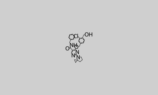 O=C(NCc1ccccc1)c1cnc(N2CCCC23CC3)nc1OCc1ccc(CO)c(Cl)c1